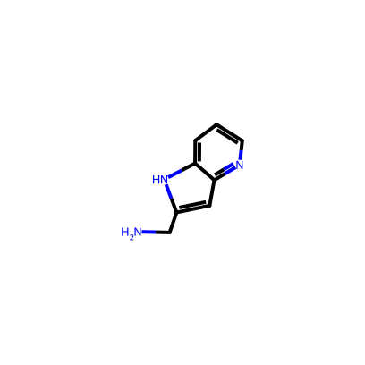 NCc1cc2ncccc2[nH]1